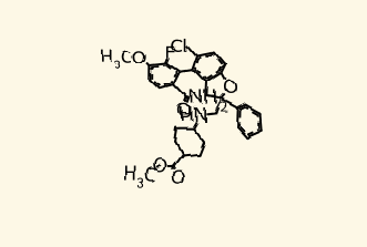 COC(=O)C1CCC(NC[C@@]2(c3ccccc3)Cc3c(ccc(Cl)c3-c3c(C(N)=O)ccc(OC)c3F)O2)CC1